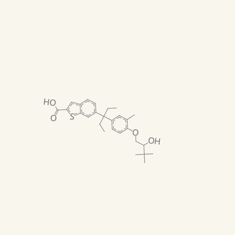 CCC(CC)(c1ccc(OCC(O)C(C)(C)C)c(C)c1)c1ccc2cc(C(=O)O)sc2c1